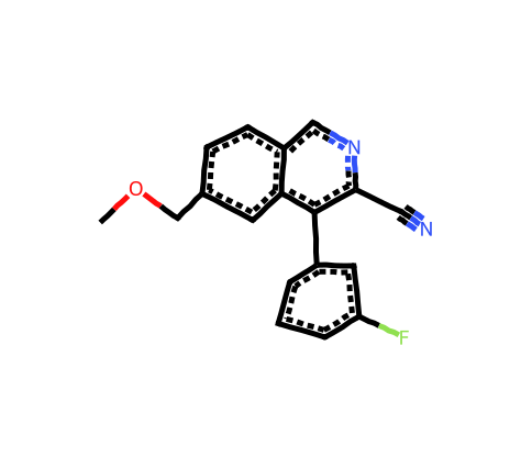 COCc1ccc2cnc(C#N)c(-c3cccc(F)c3)c2c1